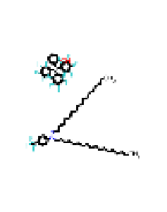 CCCCCCCCCCCCCCCCCC[NH+](CCCCCCCCCCCCCCCCCC)c1ccc(C(F)(F)F)cc1.Oc1ccccc1[B-](c1c(F)c(F)c(F)c(F)c1F)(c1c(F)c(F)c(F)c(F)c1F)c1c(F)c(F)c(F)c(F)c1F